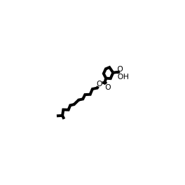 CC(C)CCCCCCCCCCOC(=O)C1CCCC(C(=O)O)C1